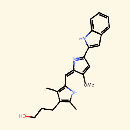 COC1=CC(c2cc3ccccc3[nH]2)=N/C1=C/c1[nH]c(C)c(CCCO)c1C